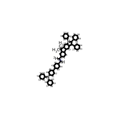 [2H]/C(=C(/[2H])c1ccc2c(c1)C(C)(C)c1cc3c(cc1-2)c(-c1ccccc1)c(-c1ccccc1)n3-c1ccccc1)c1ccc(-c2ccc(N(c3ccccc3)c3ccccc3)cc2)cc1